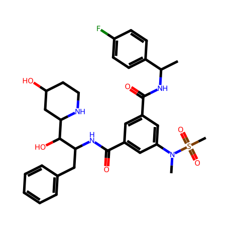 CC(NC(=O)c1cc(C(=O)NC(Cc2ccccc2)C(O)C2CC(O)CCN2)cc(N(C)S(C)(=O)=O)c1)c1ccc(F)cc1